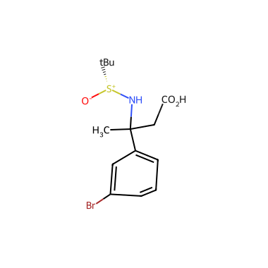 CC(CC(=O)O)(N[S@+]([O-])C(C)(C)C)c1cccc(Br)c1